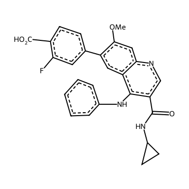 COc1cc2ncc(C(=O)NC3CC3)c(Nc3ccccc3)c2cc1-c1ccc(C(=O)O)c(F)c1